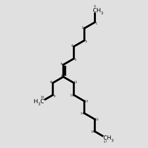 CCCCCCC=C(CCC)CCCCCCC